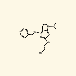 CC(C)n1cnc2c(NCc3ccccc3)nc(NCCS)nc21